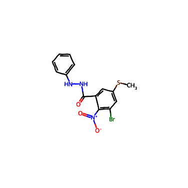 CSc1cc(Br)c([N+](=O)[O-])c(C(=O)NNc2ccccc2)c1